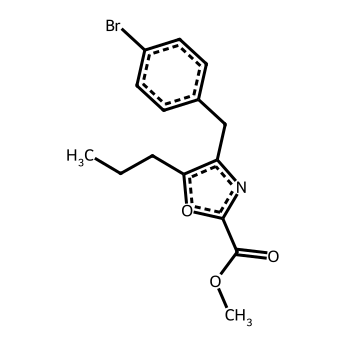 CCCc1oc(C(=O)OC)nc1Cc1ccc(Br)cc1